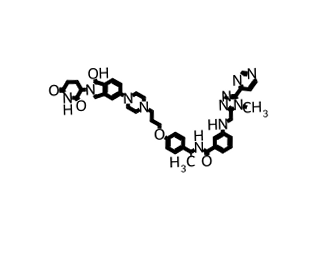 C[C@@H](NC(=O)c1cccc(NCc2nnc(-c3ccncn3)n2C)c1)c1ccc(OCCCN2CCN(c3ccc4c(c3)CN(C3CCC(=O)NC3=O)C4O)CC2)cc1